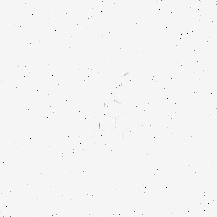 C=CCOC(=O)N[C@@H]1C(O)[C@H](C(C)C)OC(CO)[C@H]1O